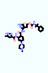 Cc1cc(C(=O)Nc2cc(N3CCN(C)CC3)ccc2C(=O)Nc2n[nH]c3sc(OC(=O)NC(C)(C)c4ccccc4)cc23)n[nH]1